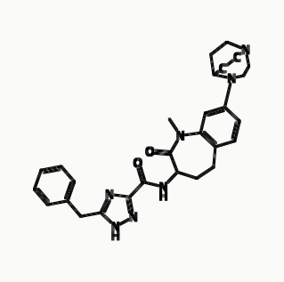 CN1C(=O)C(NC(=O)c2n[nH]c(Cc3ccccc3)n2)CCc2ccc(N3CCN4CCC3CC4)cc21